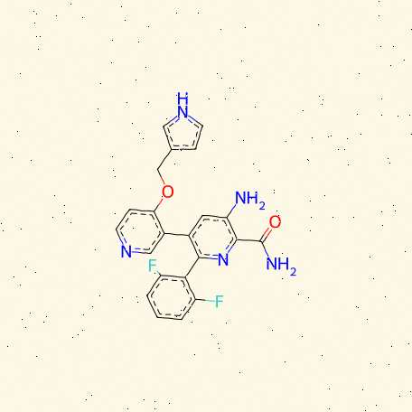 NC(=O)c1nc(-c2c(F)cccc2F)c(-c2cnccc2OCc2cc[nH]c2)cc1N